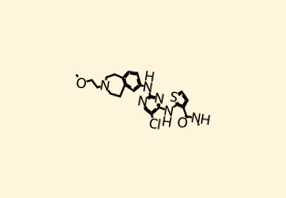 CNC(=O)c1ccsc1Nc1nc(Nc2ccc3c(c2)CCN(CCOC)CC3)ncc1Cl